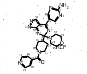 Cl.Nc1ncc(C2=NC(C3CCN(C(=O)c4ccncc4)CC3)(N3CCOCC3)N=C3N=NC=C32)cn1